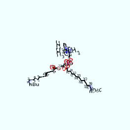 CCCC/C=C\CCCCCCCC(=O)OC[C@H](COP(=O)([O-])OCC[N+](C)(C)C)OC(=O)CCCCCCCCC/C=C\CCCCCCCCCC